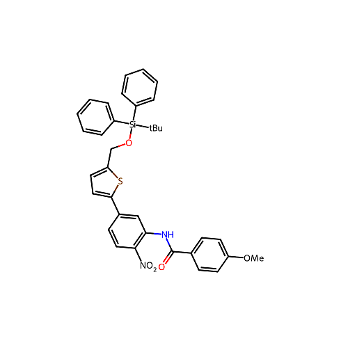 COc1ccc(C(=O)Nc2cc(-c3ccc(CO[Si](c4ccccc4)(c4ccccc4)C(C)(C)C)s3)ccc2[N+](=O)[O-])cc1